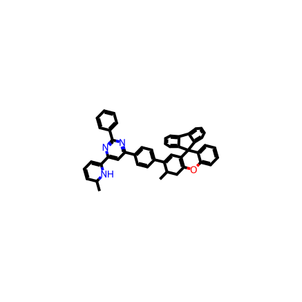 CC1C=CC=C(c2cc(-c3ccc(C4=CC5=C(CC4C)Oc4ccccc4C54c5ccccc5-c5ccccc54)cc3)nc(-c3ccccc3)n2)N1